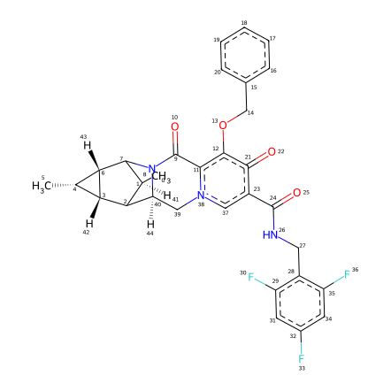 C[C@H]1C2[C@@H]3[C@H](C)[C@@H]3C1N1C(=O)c3c(OCc4ccccc4)c(=O)c(C(=O)NCc4c(F)cc(F)cc4F)cn3C[C@@H]21